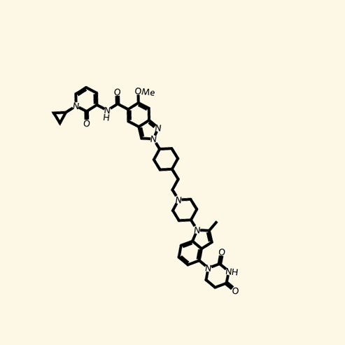 COc1cc2nn(C3CCC(CCN4CCC(n5c(C)cc6c(N7CCC(=O)NC7=O)cccc65)CC4)CC3)cc2cc1C(=O)Nc1cccn(C2CC2)c1=O